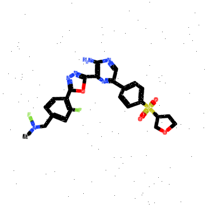 CCN(F)Cc1ccc(-c2nnc(-c3nc(-c4ccc(S(=O)(=O)C5CCOC5)cc4)cnc3N)o2)c(F)c1